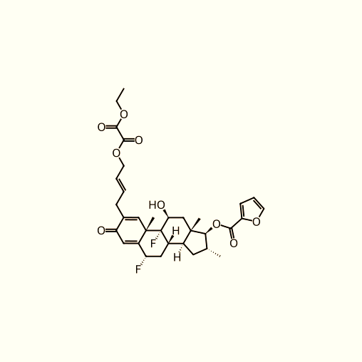 CCOC(=O)C(=O)OC/C=C/CC1=C[C@@]2(C)C(=CC1=O)[C@@H](F)C[C@H]1[C@@H]3C[C@@H](C)[C@H](OC(=O)c4ccco4)[C@@]3(C)C[C@H](O)[C@@]12F